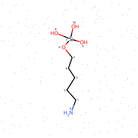 NCCCCCO[Si](O)(O)O